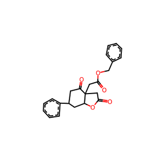 O=C(CC12CC(=O)OC1CC(c1ccccc1)CC2=O)OCc1ccccc1